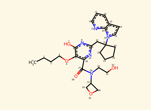 CCCCOc1c(O)nc(CC2(n3ccc4cccnc43)CCCC2)nc1C(=O)N(CCO)C1COC1